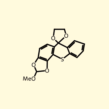 COC1Oc2ccc3c(c2O1)Sc1ccccc1C31OCCO1